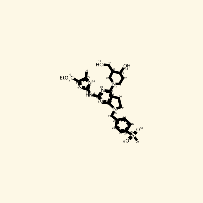 CCOC(=O)c1sc(Nc2nc3c(c(N4CCC(O)C(CO)C4)n2)CCN3Cc2ccc(S(C)(=O)=O)cc2)nc1C